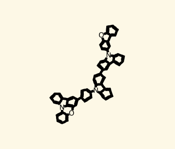 c1ccc2c(c1)Oc1cc(-c3ccc(-n4c5ccccc5c5cc(-c6ccc7c(c6)c6ccccc6n7-c6ccc7oc8ccccc8c7c6)ccc54)cc3)cc3c4ccccc4n-2c13